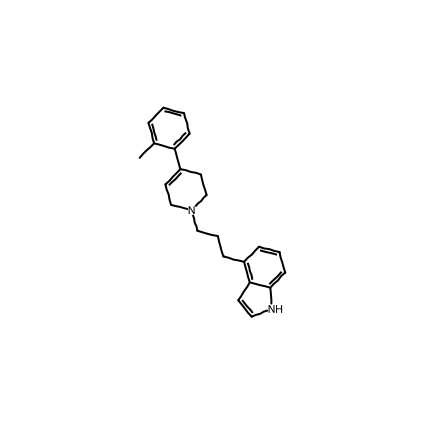 Cc1ccccc1C1=CCN(CCCc2cccc3[nH]ccc23)CC1